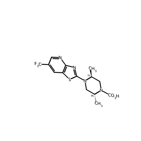 C[C@@H]1CN(c2nc3ncc(C(F)(F)F)cc3s2)[C@@H](C)CN1C(=O)O